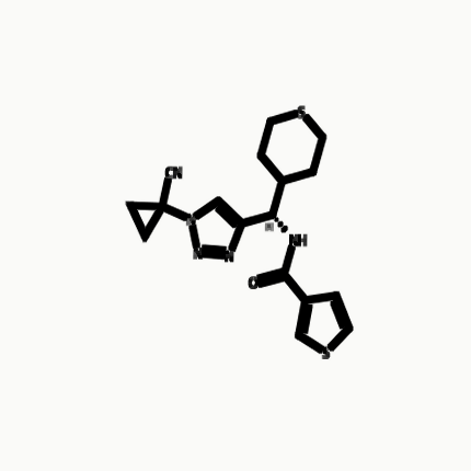 N#CC1(n2cc([C@@H](NC(=O)c3ccsc3)C3CCSCC3)nn2)CC1